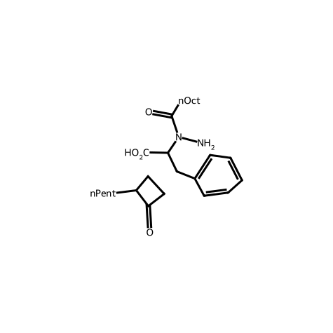 CCCCCC1CCC1=O.CCCCCCCCC(=O)N(N)C(Cc1ccccc1)C(=O)O